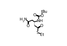 CCSC(=O)C[C@H](CC(N)=O)NC(=O)OC(C)(C)C